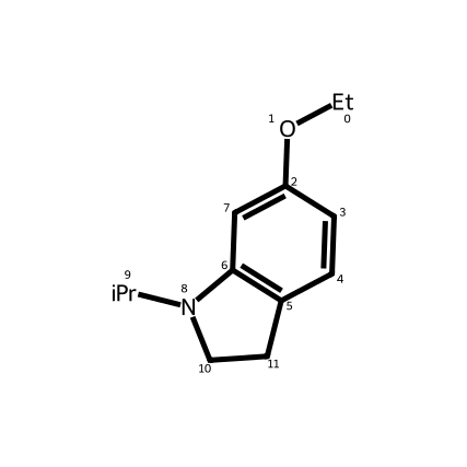 CCOc1ccc2c(c1)N(C(C)C)CC2